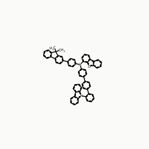 CC1(C)c2ccccc2-c2ccc(-c3ccc(N(c4ccc(-c5ccc(-c6ccccc6-n6c7ccccc7c7ccccc76)cc5)cc4)c4cccc5c4oc4ccccc45)cc3)cc21